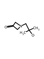 CC(C)([O])CN1CC(=O)C1